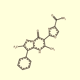 Cc1[nH]c2c(-c3ccccc3)c(C(F)(F)F)nn2c(=O)c1-c1nc(C(N)=O)co1